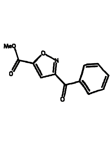 COC(=O)c1cc(C(=O)c2ccccc2)no1